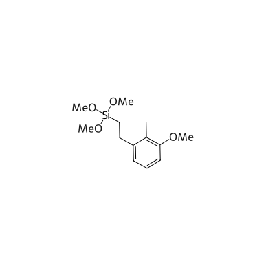 COc1cccc(CC[Si](OC)(OC)OC)c1C